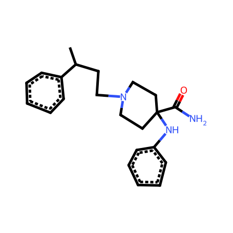 CC(CCN1CCC(Nc2ccccc2)(C(N)=O)CC1)c1ccccc1